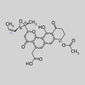 C/C=C\[C@H]1O[C@]1(C)c1cc(=O)c2c(CC(=O)O)cc3cc4c(c(O)c3c2o1)C(=O)CC[C@@H]4OC(C)=O